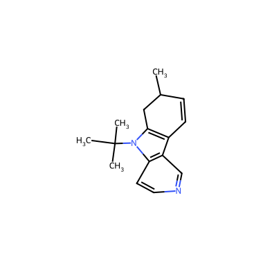 CC1C=Cc2c(n(C(C)(C)C)c3ccncc23)C1